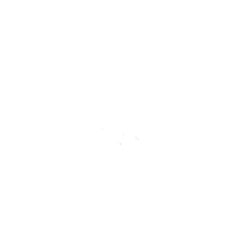 Cc1ccc(C(C)Cc2n[c]ccn2)cc1